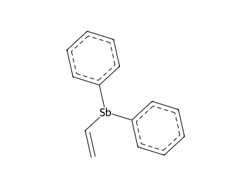 C=[CH][Sb]([c]1ccccc1)[c]1ccccc1